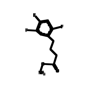 NOC(=O)CCCc1cc(F)c(F)cc1F